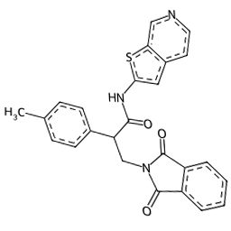 Cc1ccc(C(CN2C(=O)c3ccccc3C2=O)C(=O)Nc2cc3ccncc3s2)cc1